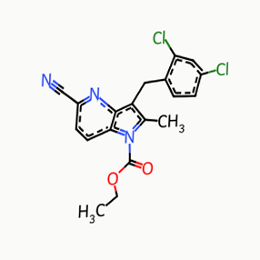 CCOC(=O)n1c(C)c(Cc2ccc(Cl)cc2Cl)c2nc(C#N)ccc21